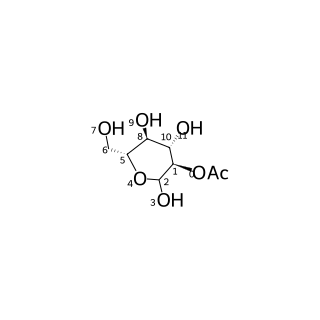 CC(=O)O[C@H]1C(O)O[C@H](CO)[C@@H](O)[C@@H]1O